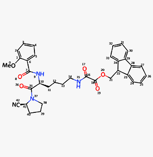 COc1ccccc1C(=O)N[C@@H](CCCCNC(=O)C(=O)OCC1c2ccccc2-c2ccccc21)C(=O)N1CCC[C@H]1C#N